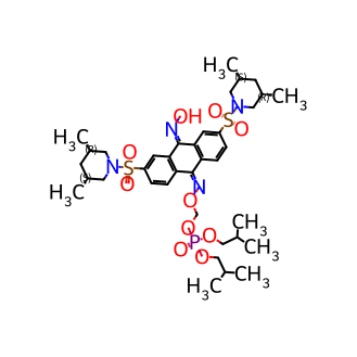 CC(C)COP(=O)(OCON=C1c2ccc(S(=O)(=O)N3C[C@H](C)C[C@H](C)C3)cc2C(=NO)c2cc(S(=O)(=O)N3C[C@H](C)C[C@H](C)C3)ccc21)OCC(C)C